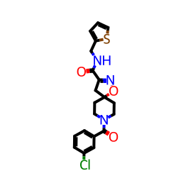 O=C(NCc1cccs1)C1=NOC2(CCN(C(=O)c3cccc(Cl)c3)CC2)C1